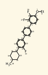 CCOc1ccc(-c2ccc(-c3ccc(C4CCC(C)CC4)c(F)c3)cc2)c(F)c1F